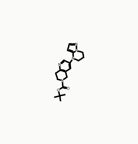 CC(C)(C)OC(=O)N1CCc2ncc(N3CCCn4nccc43)cc2C1